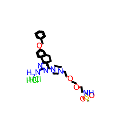 CS(=O)(=O)NCCOCCOCCN1CCN(c2nc(N)nc3c2CCc2cc(OCc4ccccc4)ccc2-3)CC1.Cl.Cl